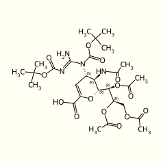 CC(=O)N[C@H]1[C@H]([C@@H](OC(C)=O)[C@@H](COC(C)=O)OC(C)=O)OC(C(=O)O)=C[C@@H]1N(C(=O)OC(C)(C)C)C(N)=NC(=O)OC(C)(C)C